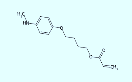 C=CC(=O)OCCCCOc1ccc(NC)cc1